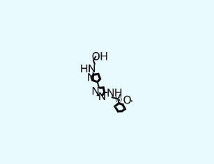 COc1ccccc1[C@H](C)CNc1cc(-c2ccc(NCCO)nc2)ncn1